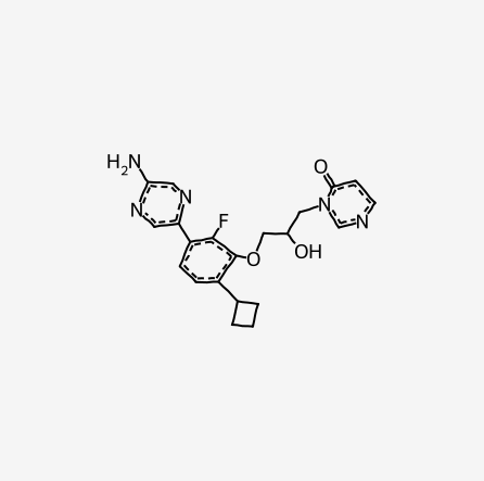 Nc1cnc(-c2ccc(C3CCC3)c(OCC(O)Cn3cnccc3=O)c2F)cn1